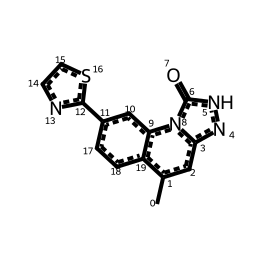 Cc1cc2n[nH]c(=O)n2c2cc(-c3nccs3)ccc12